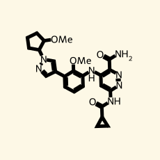 COc1c(Nc2cc(NC(=O)C3CC3)nnc2C(N)=O)cccc1-c1cnn(C2CCCC2OC)c1